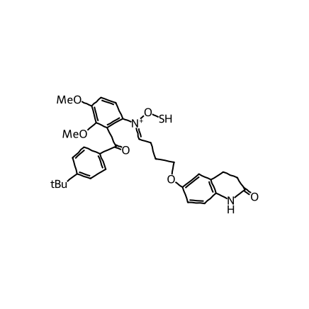 COc1ccc([N+](=CCCCOc2ccc3c(c2)CCC(=O)N3)OS)c(C(=O)c2ccc(C(C)(C)C)cc2)c1OC